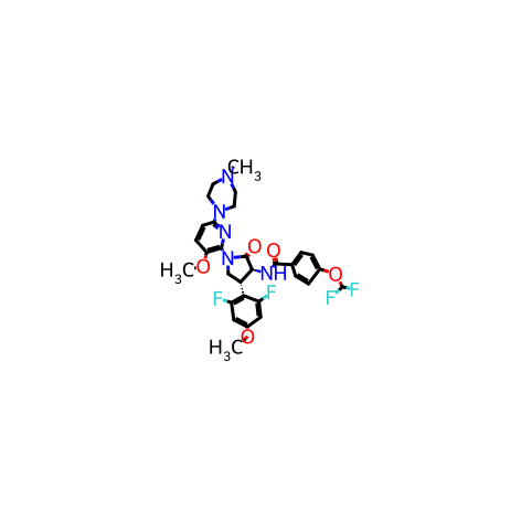 COc1cc(F)c([C@@H]2CN(c3nc(N4CCN(C)CC4)ccc3OC)C(=O)[C@H]2NC(=O)c2ccc(OC(F)F)cc2)c(F)c1